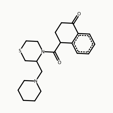 O=C1CCC(C(=O)N2CCSCC2CN2CCCCC2)c2ccccc21